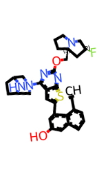 C#Cc1cccc2cc(O)cc(-c3cc4c(N5CC6CCC(C5)N6)nc(OC[C@@]56CCCN5C[C@H](F)C6)nc4s3)c12